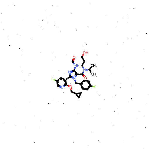 CC(C)N(CCCO)C(=O)c1c(NC=O)nc(-c2cc(F)cnc2OCC2CC2)n1Cc1ccc(F)cc1